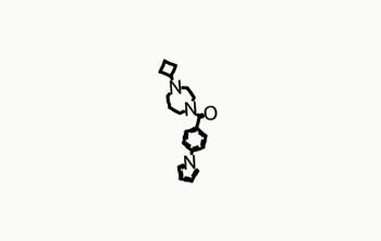 O=C(c1ccc(-n2cccc2)cc1)N1CCCN(C2CCC2)CC1